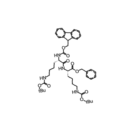 CC(C)(C)OC(=O)NCCCC[C@H](NC(=O)OCC1c2ccccc2-c2ccccc21)C(=O)N[C@@H](CCCCNC(=O)OC(C)(C)C)C(=O)OCc1ccccc1